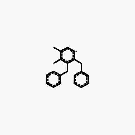 Cc1c[c]c(Cc2ccccc2)c(Cc2ccccc2)c1C